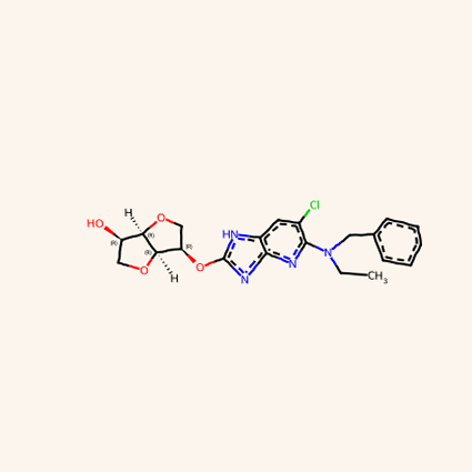 CCN(Cc1ccccc1)c1nc2nc(O[C@@H]3CO[C@H]4[C@@H]3OC[C@H]4O)[nH]c2cc1Cl